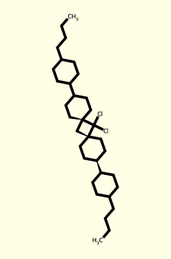 CCCCC1CCC(C2CC[C@]3(CC2)C[C@@]2(CC[C@H](C4CCC(CCCC)CC4)CC2)C3(Cl)Cl)CC1